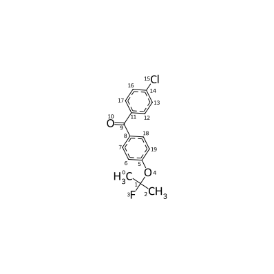 CC(C)(F)Oc1ccc(C(=O)c2ccc(Cl)cc2)cc1